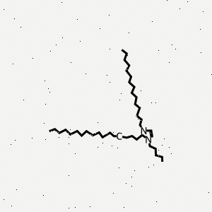 CCCCCCCCCCCCCCCCCC1N(CCCCC)C=CN1CCCCCCCCCCCCCCC